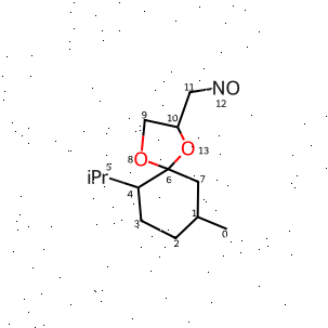 CC1CCC(C(C)C)C2(C1)OCC(CN=O)O2